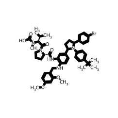 COc1ccc(CNc2ccc(C3CCC(c4ccc(Br)cc4)N3c3ccc(C(C)(C)C)cc3)cc2NC(=O)[C@@H]2CCCN2C(=O)[C@H](C(C)C)N(C)C(=O)O)c(OC)c1